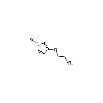 CC(=O)n1ccc(OCCC(C)(C)C)n1